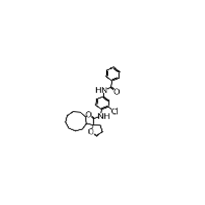 O=C(Nc1ccc(NC(=O)C2(C3CCCCCCCC3)CCCO2)c(Cl)c1)c1ccccc1